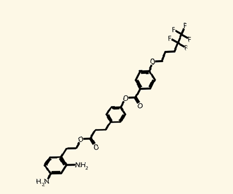 Nc1ccc(CCOC(=O)CCc2ccc(OC(=O)c3ccc(OCCCC(F)(F)C(F)(F)F)cc3)cc2)c(N)c1